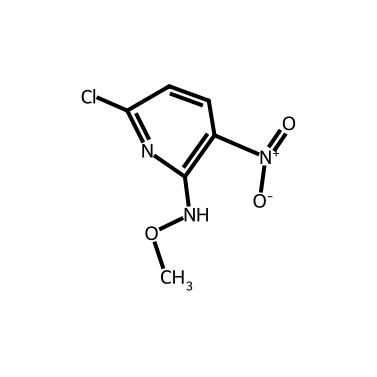 CONc1nc(Cl)ccc1[N+](=O)[O-]